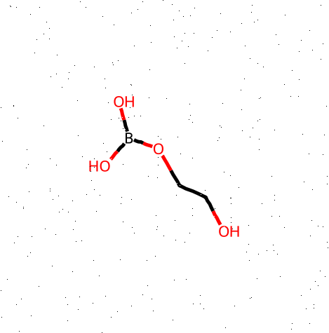 OCCOB(O)O